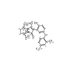 CCc1ccc(Oc2ncc(C(F)(F)F)cc2C(F)(F)F)cc1C1=C(O)[C@H]2[C@@H](C1=O)[C@@H]1CC[C@H]2O1